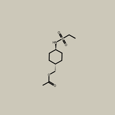 CCS(=O)(=O)N[C@H]1CC[C@H](COC(C)=O)CC1